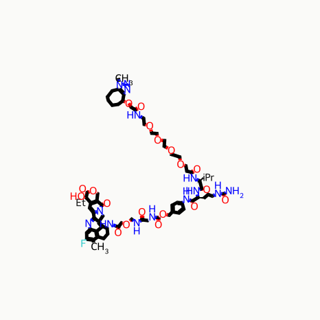 CC[C@@]1(O)C(=O)OCc2c1cc1n(c2=O)Cc2c-1nc1cc(F)c(C)c3c1c2[C@@H](NC(=O)COCNC(=O)CNC(=O)OCc1ccc(NC(=O)[C@H](CCCNC(N)=O)NC(=O)[C@@H](NC(=O)CCOCCOCCOCCOCCNC(=O)COC2CCCCCc4c2nnn4C)C(C)C)cc1)CC3